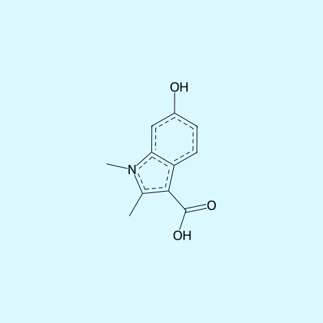 Cc1c(C(=O)O)c2ccc(O)cc2n1C